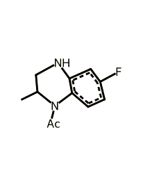 CC(=O)N1c2ccc(F)cc2NCC1C